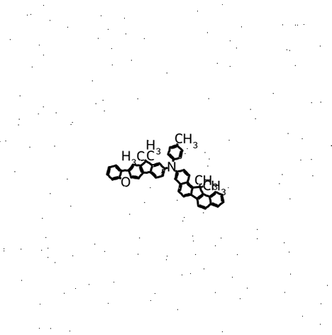 Cc1ccc(N(c2ccc3c(c2)C(C)(C)c2cc4c(cc2-3)oc2ccccc24)c2ccc3c4c(ccc3c2)-c2ccc3ccccc3c2C4(C)C)cc1